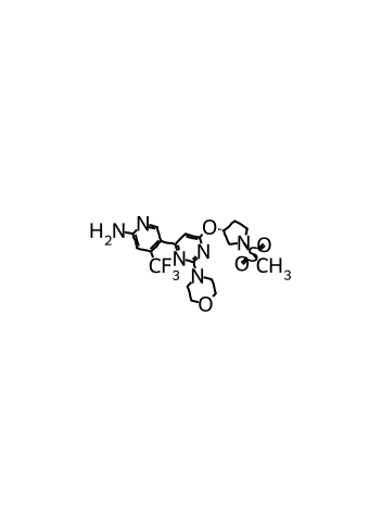 CS(=O)(=O)N1CC[C@@H](Oc2cc(-c3cnc(N)cc3C(F)(F)F)nc(N3CCOCC3)n2)C1